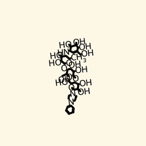 CC1OC(OC2C(CO)OC(OC3C(CO)OC(N4CCN(c5ccccc5)CC4)C(O)C3O)C(O)C2O)C(O)C(O)C1NC1C=C(CO)C(O)C(O)C1O